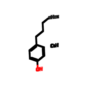 CCCCCCCCCc1ccc(O)cc1.[CsH]